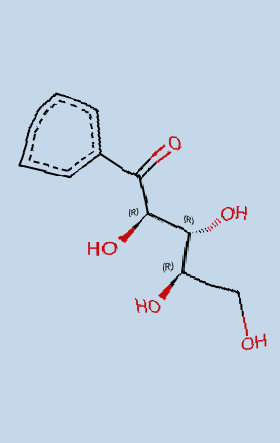 O=C(c1ccccc1)[C@H](O)[C@H](O)[C@H](O)CO